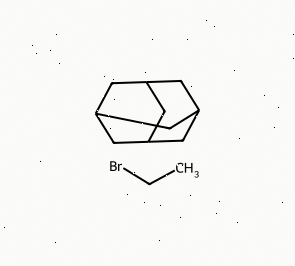 C1C2CC3CC1CC(C2)C3.CCBr